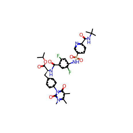 Cc1c(C)n(C)c(=O)n(-c2ccc(C[C@H](NC(=O)c3cc(F)c(NS(=O)(=O)c4ccc(C(=O)NC(C)(C)C)nc4)cc3F)C(=O)OC(C)C)cc2)c1=O